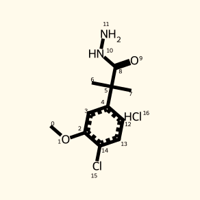 COc1cc(C(C)(C)C(=O)NN)ccc1Cl.Cl